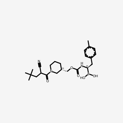 Cc1ccc(C[C@H](NC(=O)OC[C@H]2CCCN(C(=O)C(C#N)CC(C)(C)C)C2)B(O)O)cc1